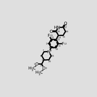 COC(OC)C1CCN(c2cc(F)c(C3CCC(=O)NC3=O)c(F)c2)CC1